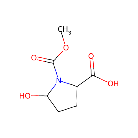 COC(=O)N1C(O)CCC1C(=O)O